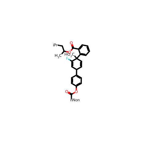 CCCCCCCCCC(=O)Oc1ccc(C2C=CC(C(=O)O)(c3ccccc3C(=O)OC(C)CC(C)C)C(F)=C2)cc1